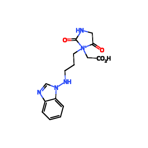 O=C(O)C[N+]1(CCCNn2cnc3ccccc32)C(=O)CNC1=O